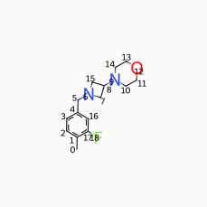 Cc1ccc(CN2CC(N3CCOCC3)C2)cc1F